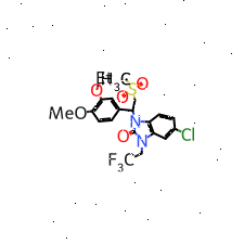 CCOc1cc(C(CS(C)(=O)=O)n2c(=O)n(CC(F)(F)F)c3cc(Cl)ccc32)ccc1OC